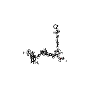 CC[C@@]1(O)C(=O)OCc2c1cc1n(c2=O)Cc2c-1nc1cc(F)c(C)c3c1c2[C@@H](NC(=O)COCNC(=O)C(C)(C)NC(=O)OCc1ccc(NC(=O)[C@H](CCCNC(N)=O)NC(=O)[C@@H](NC(=O)CCOCCOCCOCCOCCNC(=O)COC2CCCCCC4=CC42)C(C)C)cc1)CC3